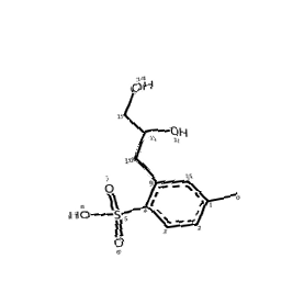 Cc1ccc(S(=O)(=O)O)c(CC(O)CO)c1